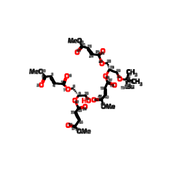 COC(=O)/C=C/C(=O)OC[C@H](CO)OC(=O)/C=C/C(=O)OC.COC(=O)/C=C/C(=O)OC[C@H](CO[Si](C)(C)C(C)(C)C)OC(=O)/C=C/C(=O)OC